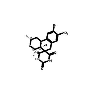 C[C@@H]1CN2c3cc(Br)c([N+](=O)[O-])cc3CC3(C(=O)NC(=O)NC3=O)[C@H]2[C@H](C)O1